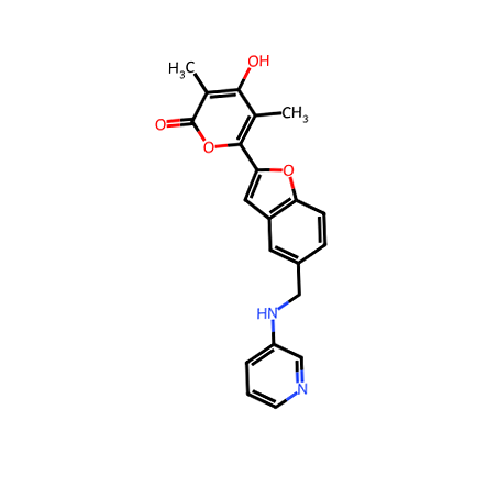 Cc1c(-c2cc3cc(CNc4cccnc4)ccc3o2)oc(=O)c(C)c1O